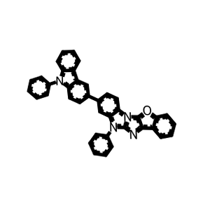 c1ccc(-n2c3ccccc3c3cc(-c4ccc5c(c4)n(-c4ccccc4)c4nc6c7ccccc7oc6n54)ccc32)cc1